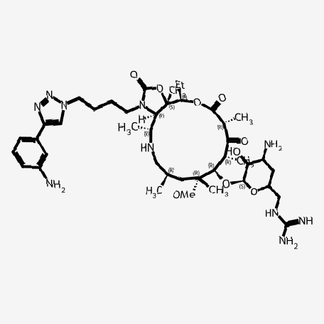 CC[C@H]1OC(=O)[C@H](C)C(=O)[C@H](C)[C@@H](O[C@@H]2OC(CNC(=N)N)CC(N)C2O)[C@](C)(OC)C[C@@H](C)CN[C@H](C)[C@H]2N(CCCCn3cc(-c4cccc(N)c4)nn3)C(=O)O[C@]12C